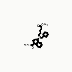 COC(=O)CCCCN(Cc1ccccc1)c1ccc(C(=O)OC)c2ccccc12